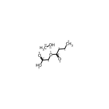 CCCC(=O)OCC(=O)O.CO